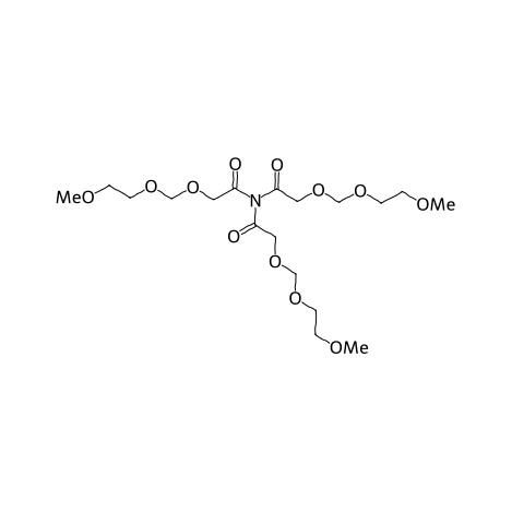 COCCOCOCC(=O)N(C(=O)COCOCCOC)C(=O)COCOCCOC